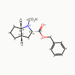 O=C(OCc1ccccc1)[C@@H]1C[C@@H]2CCC[C@@H]2N1C(=O)O